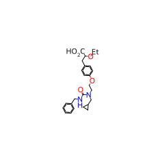 CCOC(Cc1ccc(OCCN(CC2CC2)C(=O)NCc2ccccc2)cc1)C(=O)O